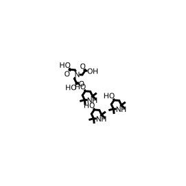 CC1(C)CC(O)CC(C)(C)N1.CC1(C)CC(O)CC(C)(C)N1.CC1(C)CC(O)CC(C)(C)N1.O=C(O)CN(CC(=O)O)CC(=O)O